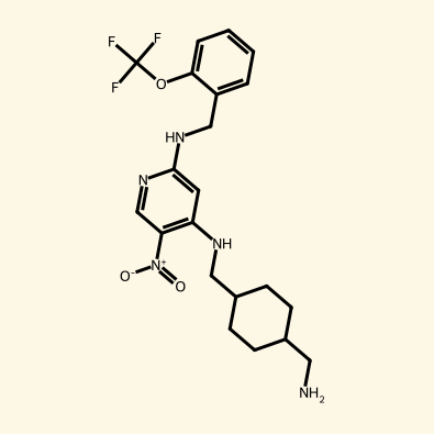 NCC1CCC(CNc2cc(NCc3ccccc3OC(F)(F)F)ncc2[N+](=O)[O-])CC1